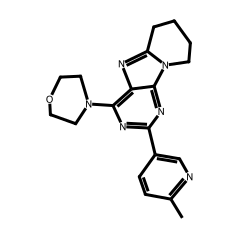 Cc1ccc(-c2nc(N3CCOCC3)c3nc4n(c3n2)CCCC4)cn1